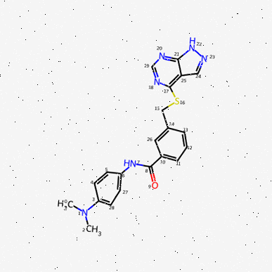 CN(C)c1ccc(NC(=O)c2cccc(CSc3ncnc4[nH]ncc34)c2)cc1